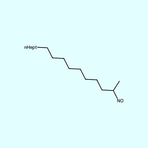 CCCCCCCCCCCCCCCC(C)N=O